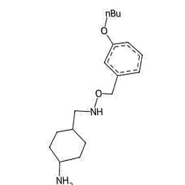 CCCCOc1cccc(CONCC2CCC(N)CC2)c1